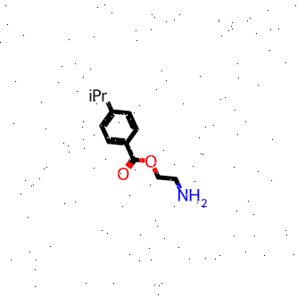 CC(C)c1ccc(C(=O)OCCN)cc1